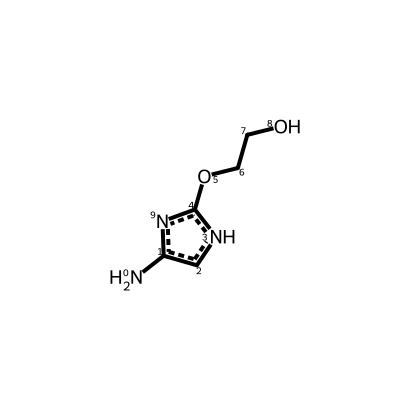 Nc1c[nH]c(OCCO)n1